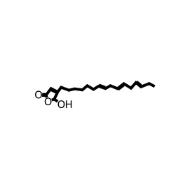 CCC=CCC=CCC=CCCCCCCC1=CC(=O)OC1O